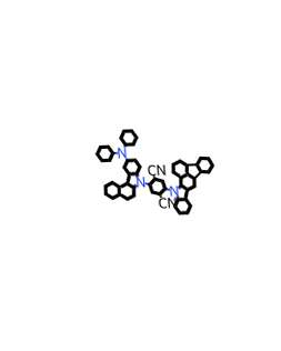 N#Cc1cc(-n2c3ccccc3c3cc4c5c(cccc5c32)-c2ccccc2-4)c(C#N)cc1-n1c2ccc(N(c3ccccc3)c3ccccc3)cc2c2c3ccccc3ccc21